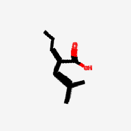 CCC=C(C=C(C)C)C(=O)O